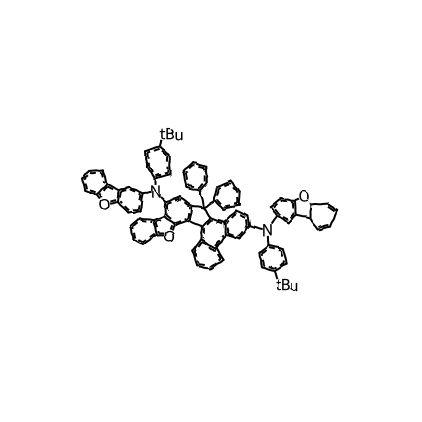 CC(C)(C)c1ccc(N(c2ccc3c(c2)C2C=CC=CC2O3)c2ccc3c4c(c5ccccc5c3c2)-c2c(cc(N(c3ccc(C(C)(C)C)cc3)c3ccc5oc6ccccc6c5c3)c3c2oc2ccccc23)C4(c2ccccc2)c2ccccc2)cc1